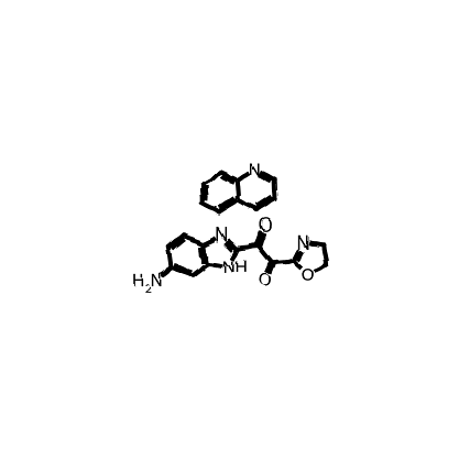 Nc1ccc2nc(C(=O)C(=O)C3=NCCO3)[nH]c2c1.c1ccc2ncccc2c1